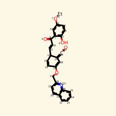 CCOc1ccc(O)c(C(=O)C=CC2C=CC(OCc3ccc4ccccc4n3)=CC2=C=O)c1